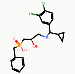 O=P(O)(Cc1ccccc1)C[C@H](O)CNC(c1ccc(Cl)c(Cl)c1)C1CC1